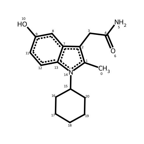 Cc1c(CC(N)=O)c2cc(O)ccc2n1C1CCCCC1